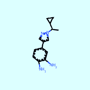 CC(C1CC1)n1cc(-c2ccc(N)c(N)c2)cn1